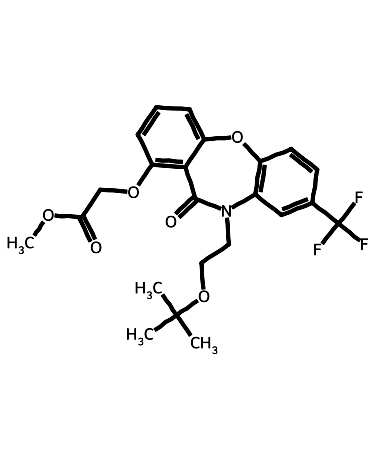 COC(=O)COc1cccc2c1C(=O)N(CCOC(C)(C)C)c1cc(C(F)(F)F)ccc1O2